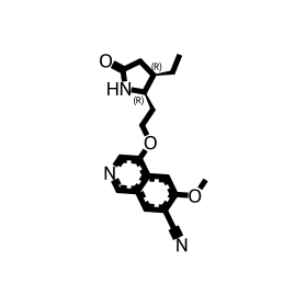 CC[C@@H]1CC(=O)N[C@@H]1CCOc1cncc2cc(C#N)c(OC)cc12